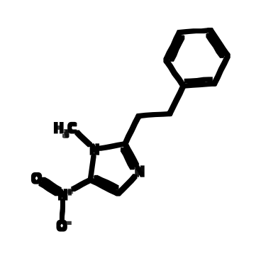 Cn1c([N+](=O)[O-])cnc1CCc1ccccc1